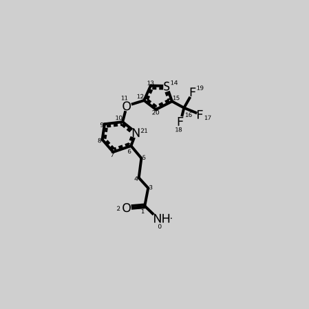 [NH]C(=O)CCCc1cccc(Oc2csc(C(F)(F)F)c2)n1